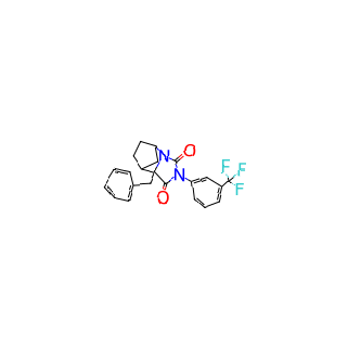 O=C1N(c2cccc(C(F)(F)F)c2)C(=O)C2(Cc3ccccc3)C3CCC(C3)N12